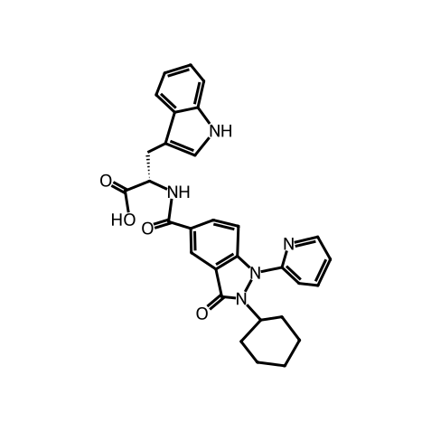 O=C(N[C@@H](Cc1c[nH]c2ccccc12)C(=O)O)c1ccc2c(c1)c(=O)n(C1CCCCC1)n2-c1ccccn1